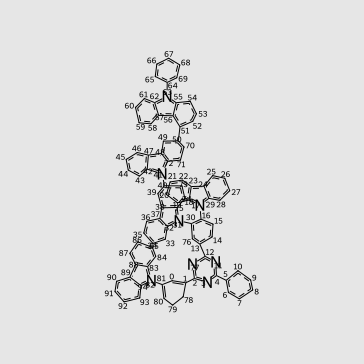 C1=C(c2nc(-c3ccccc3)nc(-c3ccc(-n4c5ccccc5c5ccccc54)c(-n4c5ccccc5c5cc(-n6c7ccccc7c7cc(-c8cccc9c8c8ccccc8n9-c8ccccc8)ccc76)ccc54)c3)n2)CCC=C1n1c2ccccc2c2ccccc21